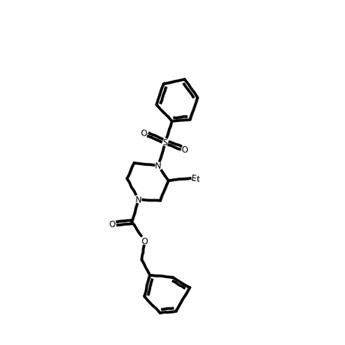 CCC1CN(C(=O)OCc2ccccc2)CCN1S(=O)(=O)c1ccccc1